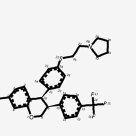 Oc1ccc2c(c1)OC[C@H](c1ccc(C(F)(F)F)cc1)[C@@H]2c1ccc(SCCN2CCCC2)cc1